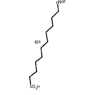 CCCCCCCCCCCCCCCCCCCS(=O)(=O)O.[KH]